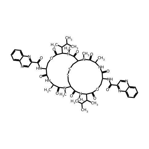 CC1NC(=O)C(NC(=O)c2cnc3ccccc3n2)COC(=O)C(C(C)C(C)C)N(C)C(=O)C2CSSCC(C(=O)N(C)C(C(C)C(C)C)C(=O)OCC(NC(=O)c3cnc4ccccc4n3)C(=O)NC(C)C(=O)N2C)N(C)C1=O